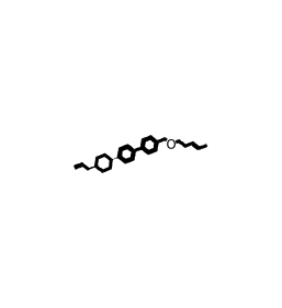 C=CC[C@H]1CC[C@H](c2ccc(-c3ccc(COCCC=CC)cc3)cc2)CC1